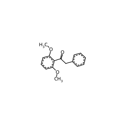 COc1cccc(OC)c1C(=O)Cc1ccccc1